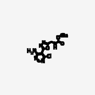 CC(C)(C)OC(=O)NCc1nnc(-c2c(N)ncnc2Cl)o1